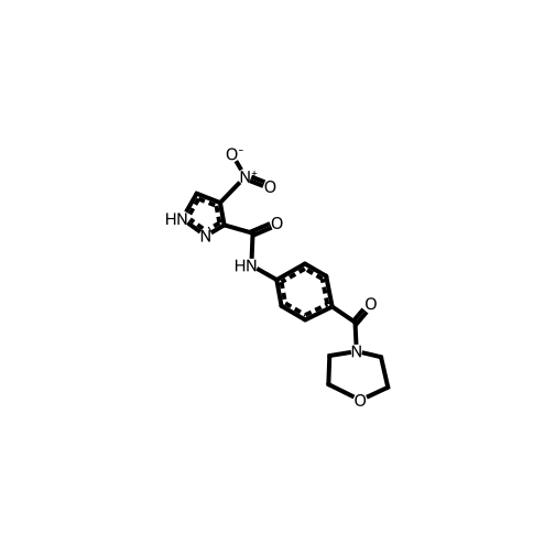 O=C(Nc1ccc(C(=O)N2CCOCC2)cc1)c1n[nH]cc1[N+](=O)[O-]